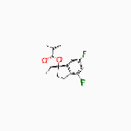 C=C(C)C(=O)OC1(CC)CCc2c(F)cc(F)cc21